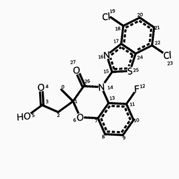 CC1(CC(=O)O)Oc2cccc(F)c2N(c2nc3c(Cl)ccc(Cl)c3s2)C1=O